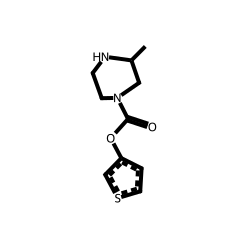 CC1CN(C(=O)Oc2ccsc2)CCN1